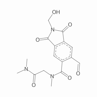 CN(C)C(=O)CN(C)C(=O)c1cc2c(cc1C=O)C(=O)N(CO)C2=O